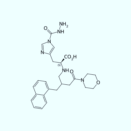 NNC(=O)n1cnc(C[C@H](NCC(CC(=O)N2CCOCC2)Cc2cccc3ccccc23)C(=O)O)c1